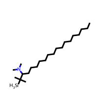 CCCCCCCCCCCCCCCCC(N(C)C)C(C)(C)[SiH3]